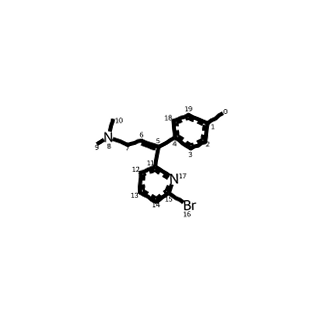 Cc1ccc(C(=CCN(C)C)c2cccc(Br)n2)cc1